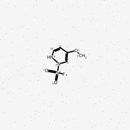 COC1=CN(S(=O)(=O)F)NC=C1